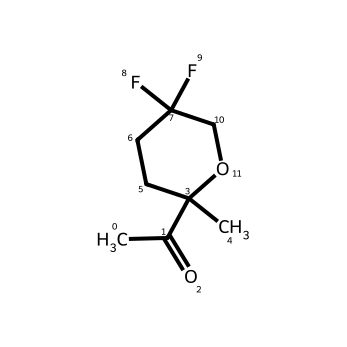 CC(=O)C1(C)CCC(F)(F)CO1